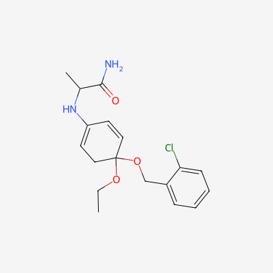 CCOC1(OCc2ccccc2Cl)C=CC(NC(C)C(N)=O)=CC1